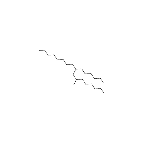 CCCCCCCCC(CCCCCC)CC(C)CCCCCC